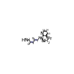 C/C(C=N)=C/C(C)=C/CN(N)c1ncccc1C(C)C